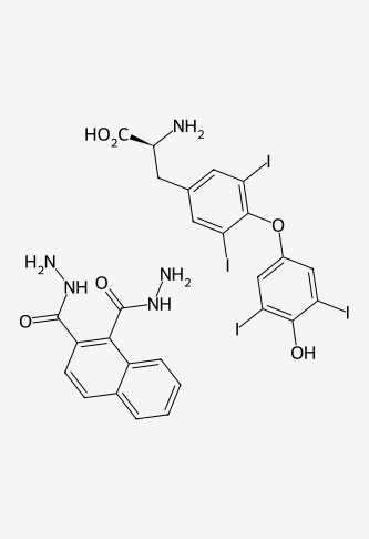 NNC(=O)c1ccc2ccccc2c1C(=O)NN.N[C@@H](Cc1cc(I)c(Oc2cc(I)c(O)c(I)c2)c(I)c1)C(=O)O